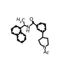 CC(=O)N1CCC(c2cccc(C(=O)N[C@H](C)c3cccc4ccccc34)c2)CC1